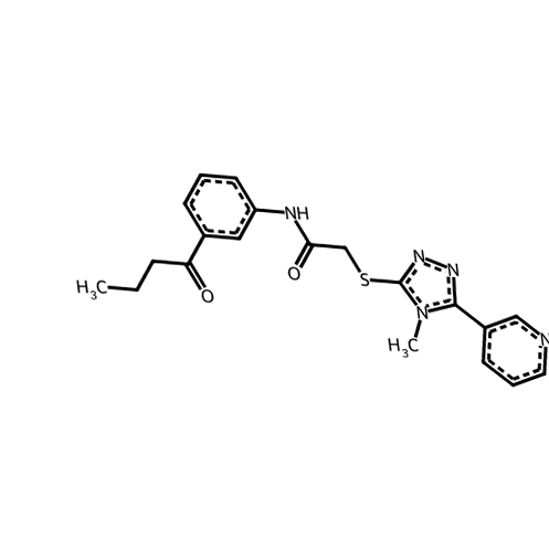 CCCC(=O)c1cccc(NC(=O)CSc2nnc(-c3cccnc3)n2C)c1